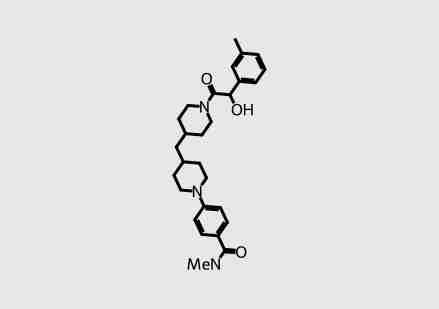 CNC(=O)c1ccc(N2CCC(CC3CCN(C(=O)C(O)c4cccc(C)c4)CC3)CC2)cc1